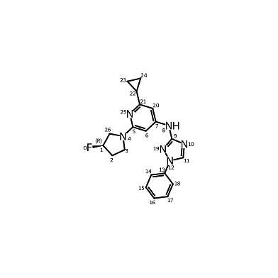 F[C@@H]1CCN(c2cc(Nc3ncn(-c4ccccc4)n3)cc(C3CC3)n2)C1